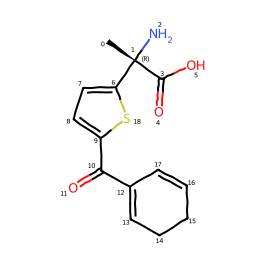 C[C@@](N)(C(=O)O)c1ccc(C(=O)C2=CCCC=C2)s1